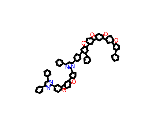 c1ccc(-c2ccc3oc4cc5oc6cc7oc8cc9oc%10cc(-c%11ccc(-c%12cc(-c%13ccccc%13)nc(-c%13ccc%14oc%15cc%16oc%17ccc(-c%18nc(-c%19ccccc%19)cc(-c%19ccccc%19)n%18)cc%17c%16cc%15c%14c%13)n%12)cc%11)c(-c%11ccccc%11)cc%10c9cc8c7cc6c5cc4c3c2)cc1